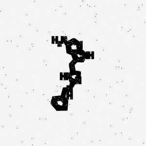 Nc1cnc2[nH]cc(C=C3CN=C(NCc4ccccc4)N3)c2c1